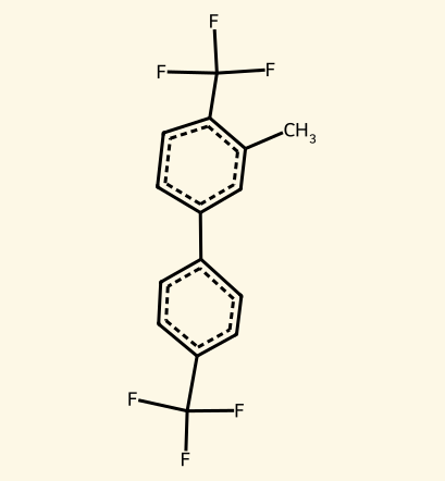 Cc1cc(-c2ccc(C(F)(F)F)cc2)ccc1C(F)(F)F